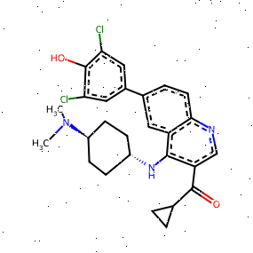 CN(C)[C@H]1CC[C@H](Nc2c(C(=O)C3CC3)cnc3ccc(-c4cc(Cl)c(O)c(Cl)c4)cc23)CC1